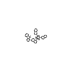 CC1(C)c2ccccc2-c2cccc(-c3ccc4c(-c5nc(-c6ccc7ccccc7c6)nc(-c6ccc7ccccc7c6)n5)cccc4c3)c21